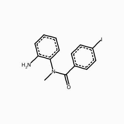 CN(C(=O)c1ccc(I)cc1)c1ccccc1N